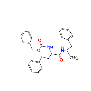 O=CC(Cc1ccccc1)NC(=O)C(CCc1ccccc1)NC(=O)OCc1ccccc1